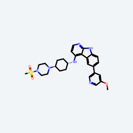 COc1cncc(-c2ccc3[nH]c4nccc(N[C@H]5CC[C@H](N6CCN(S(C)(=O)=O)CC6)CC5)c4c3c2)c1